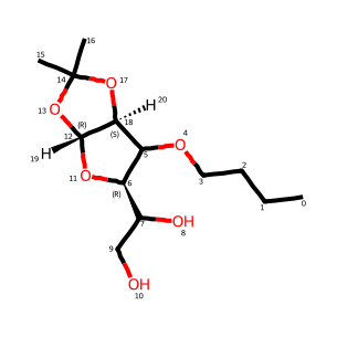 CCCCOC1[C@@H](C(O)CO)O[C@@H]2OC(C)(C)O[C@@H]12